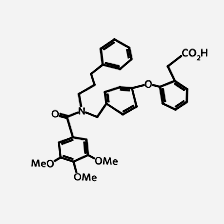 COc1cc(C(=O)N(CCCc2ccccc2)Cc2ccc(Oc3ccccc3CC(=O)O)cc2)cc(OC)c1OC